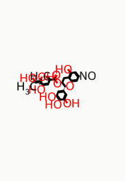 C=C(/C=C(O)\C(O)=C(/C)O)C(=O)O[C@@H]1Cc2c(O)cc(N=O)cc2O[C@@H]1c1cc(O)c(O)c(O)c1